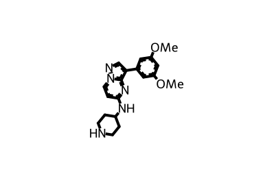 COc1cc(OC)cc(-c2cnn3ccc(NC4CCNCC4)nc23)c1